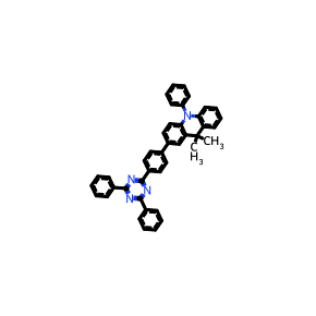 CC1(C)c2ccccc2N(c2ccccc2)c2ccc(-c3ccc(-c4nc(-c5ccccc5)nc(-c5ccccc5)n4)cc3)cc21